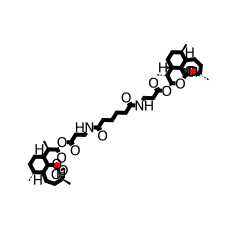 C[C@H]1[C@H](OC(=O)CCNC(=O)CCCCC(=O)NCCC(=O)O[C@@H]2O[C@@H]3O[C@@]4(C)CC[C@H]5[C@H](C)CC[C@@H]([C@H]2C)[C@@]35OO4)O[C@@H]2O[C@@]3(C)CC[C@H]4[C@H](C)CC[C@@H]1[C@@]24OO3